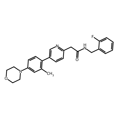 Cc1cc(N2CCOCC2)ccc1-c1ccc(CC(=O)NCc2ccccc2F)nc1